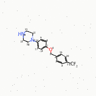 FC(F)(F)c1ccc(COc2ccc(N3CCNCC3)cc2)cc1